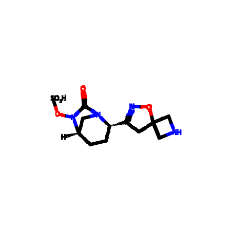 O=C1N2C[C@@H](CC[C@H]2C2=NOC3(CNC3)C2)N1OS(=O)(=O)O